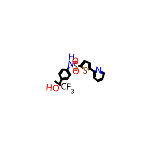 CC(O)(c1ccc(NS(=O)(=O)c2ccc(-c3ccccn3)s2)cc1)C(F)(F)F